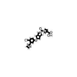 O=C(O)c1ccn(C(=O)N2CC3CC(Oc4ccc(Cl)c(-c5nccs5)c4)CC3C2)n1